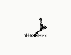 CCCCCCc1cc(-c2ccc(CCCCc3ccc(-c4nc(-c5ccc(C)cc5)nc(-c5ccc(CCCCc6ccc(C)cc6)cc5)n4)cc3)cc2)c(CCCCCC)cc1C